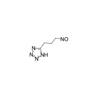 O=NCCCc1nnn[nH]1